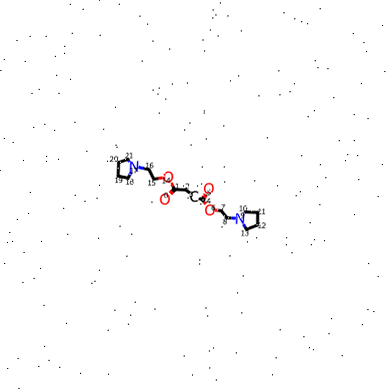 O=C(CCC(=O)OCCN1CCCC1)OCCN1CCCC1